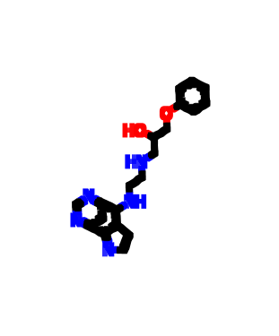 OC(CNCCNc1c2c(c3cc1ncn3)=NC=C2)COc1ccccc1